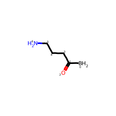 BC(=O)CCCN